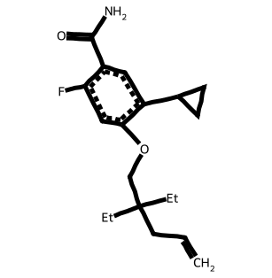 C=CCC(CC)(CC)COc1cc(F)c(C(N)=O)cc1C1CC1